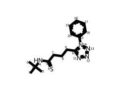 CC(C)(C)NC(=S)CCCc1nnnn1-c1ccccc1